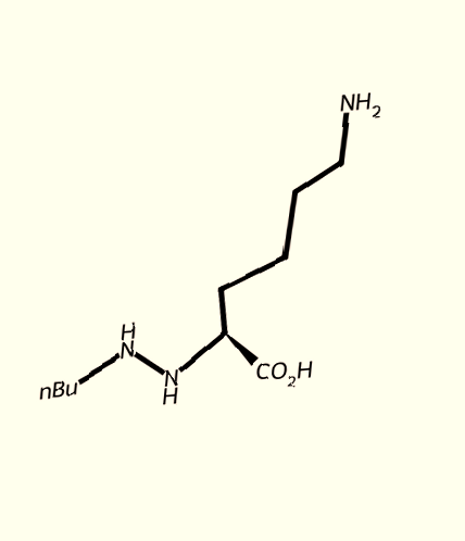 CCCCNN[C@@H](CCCCN)C(=O)O